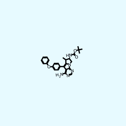 CC1c2c(-c3ccc(Oc4ccccc4)cc3)c3c(N)ncnc3n2C[C@@H]1NC(=O)OC(C)(C)C